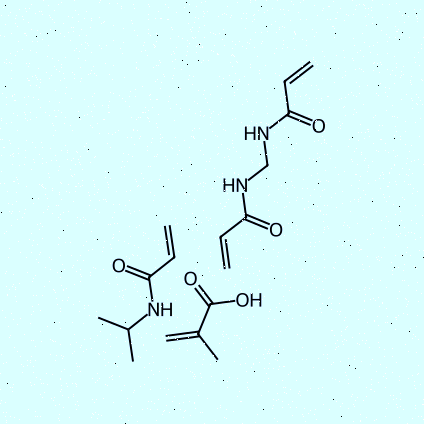 C=C(C)C(=O)O.C=CC(=O)NC(C)C.C=CC(=O)NCNC(=O)C=C